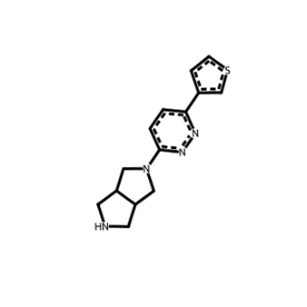 c1cc(-c2ccc(N3CC4CNCC4C3)nn2)cs1